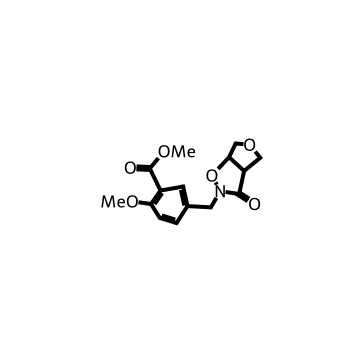 COC(=O)c1cc(CN2OC3COCC3C2=O)ccc1OC